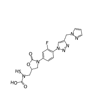 O=C(O)N(S)CC1CN(c2ccc(-n3cc(Cn4cccn4)nn3)c(F)c2)C(=O)O1